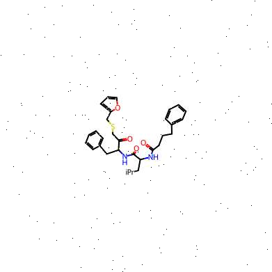 CC(C)CC(NC(=O)CCCc1ccccc1)C(=O)NC(Cc1ccccc1)C(=O)CSCc1ccco1